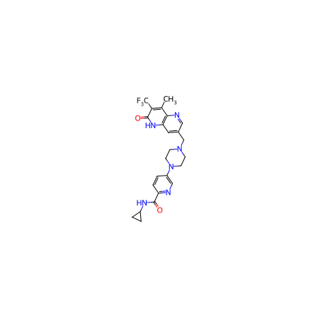 Cc1c(C(F)(F)F)c(=O)[nH]c2cc(CN3CCN(c4ccc(C(=O)NC5CC5)nc4)CC3)cnc12